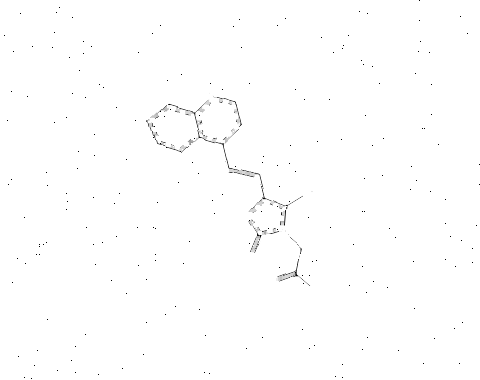 O=C(O)Cn1c(O)c(C=Cc2ccnc3ccccc23)sc1=S